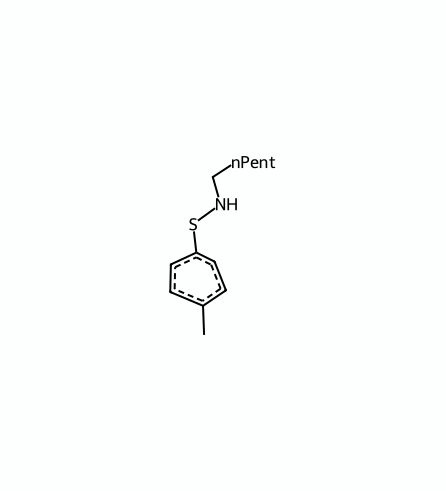 CCCCCCNSc1ccc(C)cc1